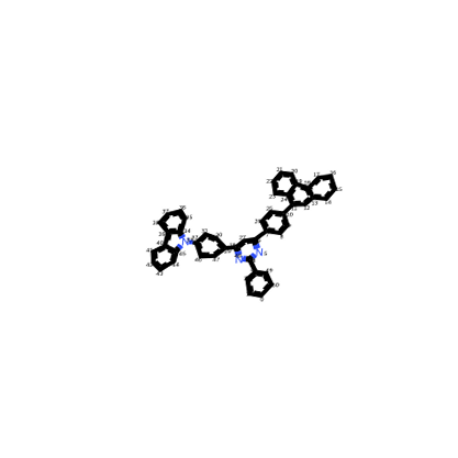 c1ccc(-c2nc(-c3ccc(-c4cc5ccccc5c5ccccc45)cc3)cc(-c3ccc(-n4c5ccccc5c5ccccc54)cc3)n2)cc1